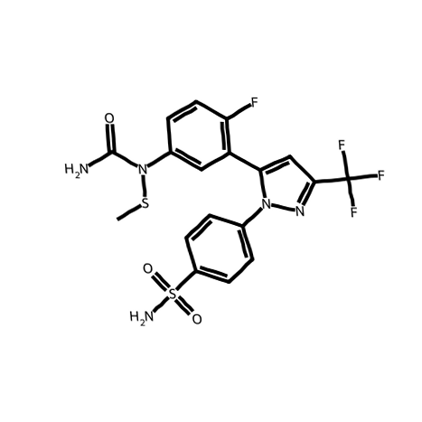 CSN(C(N)=O)c1ccc(F)c(-c2cc(C(F)(F)F)nn2-c2ccc(S(N)(=O)=O)cc2)c1